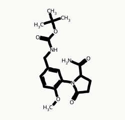 COc1ccc(CNC(=O)OC(C)(C)C)cc1N1C(=O)CCC1C(N)=O